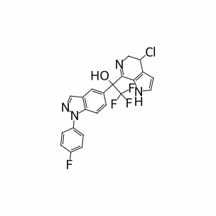 OC(C1=NCC(Cl)c2cc[nH]c21)(c1ccc2c(cnn2-c2ccc(F)cc2)c1)C(F)(F)F